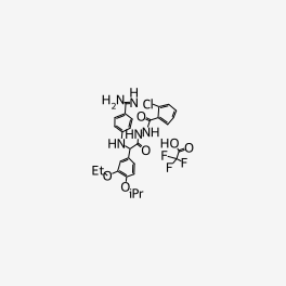 CCOc1cc(C(Nc2ccc(C(=N)N)cc2)C(=O)NNC(=O)c2ccccc2Cl)ccc1OC(C)C.O=C(O)C(F)(F)F